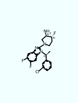 C[C@@H](c1cccc(Cl)c1)n1c(N2CC[C@@H](F)[C@H](N)C2)nc2cc(F)c(F)cc21